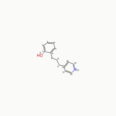 Oc1ccccc1CCCc1ccncc1